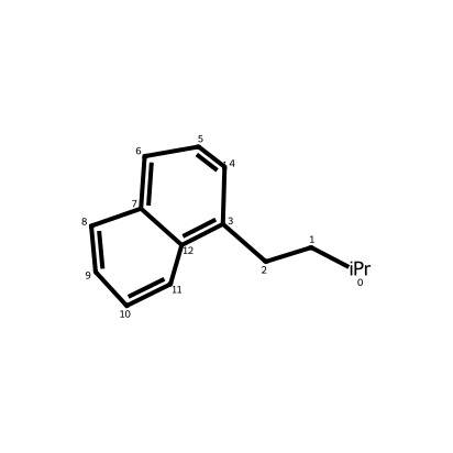 CC(C)CCc1[c]ccc2ccccc12